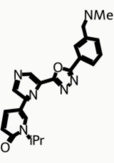 CNCc1cccc(-c2nnc(-c3cncc(-c4ccc(=O)n(C(C)C)c4)n3)o2)c1